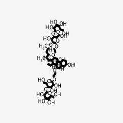 CCCC[C@@H](C)[C@H]1CC[C@H]2[C@@H]3[C@H](OCCO[C@@H]4OC(CO)[C@@H](O[C@H]5OC(CO)[C@@H](O)[C@H](O)C5O)[C@H](O)C4O)C[C@@H]4C[C@H](O)CC[C@]4(C)[C@H]3C[C@H](OCCO[C@@H]3OC(CO)[C@@H](O[C@H]4OC(CO)[C@@H](O)[C@H](O)C4O)[C@H](O)C3O)[C@]12C